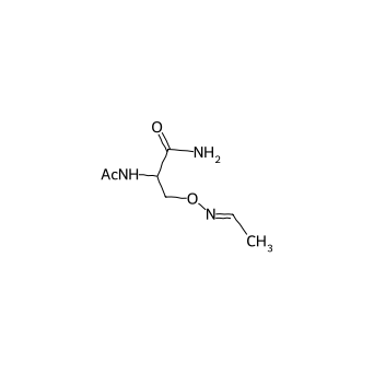 CC=NOCC(NC(C)=O)C(N)=O